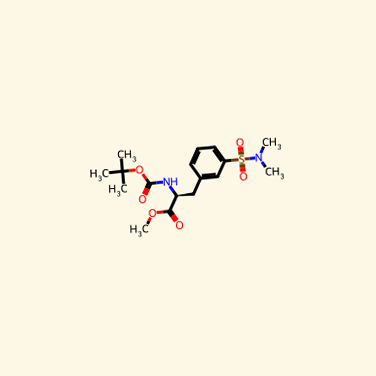 COC(=O)[C@H](Cc1cccc(S(=O)(=O)N(C)C)c1)NC(=O)OC(C)(C)C